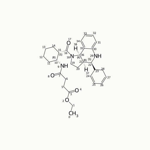 CCOC(=O)CCC(=O)N[C@@H]1CCCC[C@@H]1C(=O)N1CC[C@@H]2[C@H](C3C=CC=CC3)Nc3ccccc3[C@@H]21